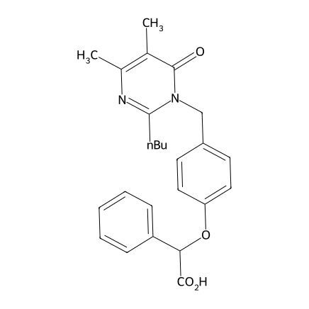 CCCCc1nc(C)c(C)c(=O)n1Cc1ccc(OC(C(=O)O)c2ccccc2)cc1